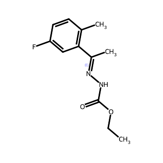 CCOC(=O)N/N=C(\C)c1cc(F)ccc1C